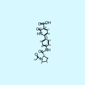 CC(=O)N1CCC[C@@H]1C(=O)Nc1ccc(-c2ccc(C(=O)O)c(=O)[nH]2)cc1